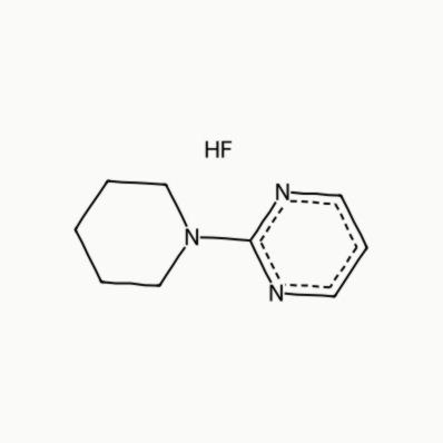 F.c1cnc(N2CCCCC2)nc1